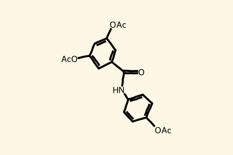 CC(=O)Oc1ccc(NC(=O)c2cc(OC(C)=O)cc(OC(C)=O)c2)cc1